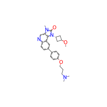 CO[C@H]1C[C@H](n2c(=O)n(C)c3cnc4ccc(-c5ccc(OCCCN(C)C)cc5)cc4c32)C1